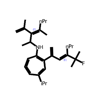 C=C(/C=C(\CCC)C(C)(C)F)C1=C(NC(C)/C(C(=C)C)=C(\C)CCC)C=C=CC(C(C)C)=C1